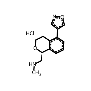 CNC[C@H]1OCCc2c(-c3cnoc3)cccc21.Cl